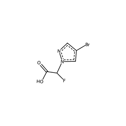 O=C(O)C(F)n1cc(Br)cn1